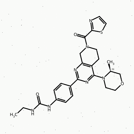 CCNC(=O)Nc1ccc(-c2nc3c(c(N4CCOC[C@@H]4C)n2)CCN(C(=O)c2nccs2)C3)cc1